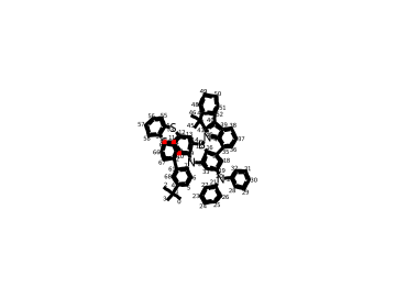 CC(C)(C)c1ccc(N2c3cc4c(cc3B3c5c(cc(N(c6ccccc6)c6ccccc6)cc52)-c2cccc5c6c(n3c25)C(C)(C)c2ccccc2-6)Sc2ccccc2S4)c(-c2ccccc2)c1